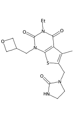 CCn1c(=O)c2c(C)c(CN3CCNC3=O)sc2n(CC2COC2)c1=O